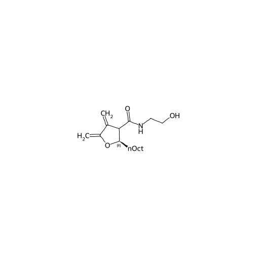 C=C1O[C@H](CCCCCCCC)C(C(=O)NCCO)C1=C